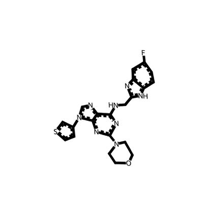 Fc1ccc2[nH]c(CNc3nc(N4CCOCC4)nc4c3ncn4-c3ccsc3)nc2c1